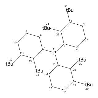 CC(C)(C)C1CCCC(P(C2CCCC(C(C)(C)C)C2C(C)(C)C)C2CCCC(C(C)(C)C)C2C(C)(C)C)C1C(C)(C)C